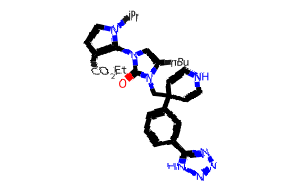 CCCCc1cn(-c2c(C(=O)OCC)ccn2C(C)C)c(=O)n1CC1(c2cccc(-c3nnn[nH]3)c2)C=CNC=C1